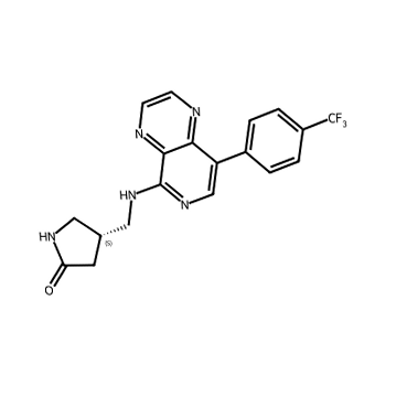 O=C1C[C@@H](CNc2ncc(-c3ccc(C(F)(F)F)cc3)c3nccnc23)CN1